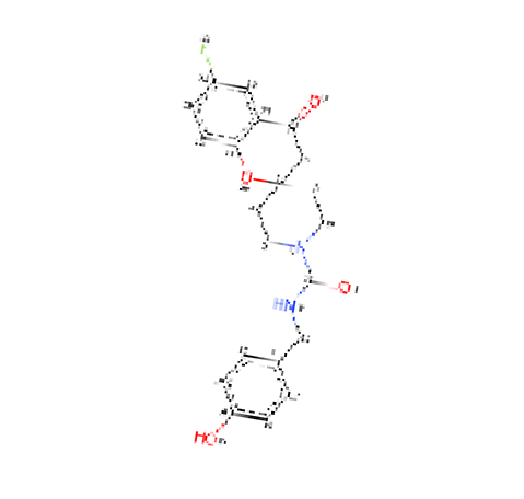 O=C1CC2(CCN(C(=O)NCc3ccc(O)cc3)CC2)Oc2ccc(F)cc21